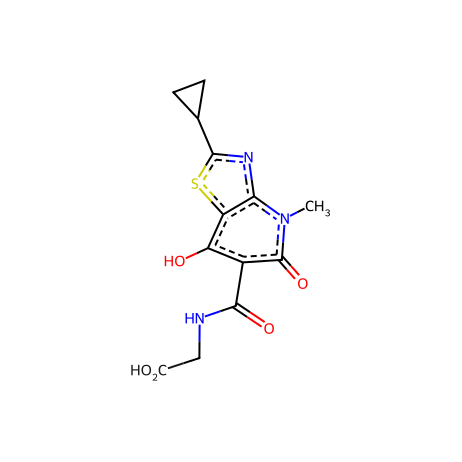 Cn1c(=O)c(C(=O)NCC(=O)O)c(O)c2sc(C3CC3)nc21